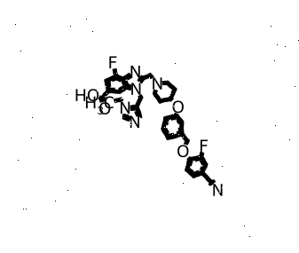 CCn1cncc1Cn1c(CN2CCC(Oc3cccc(COc4ccc(C#N)cc4F)c3)CC2)nc2c(F)cc(C(=O)O)cc21